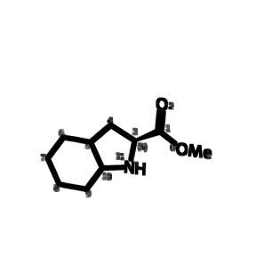 COC(=O)[C@@H]1CC2CCCCC2N1